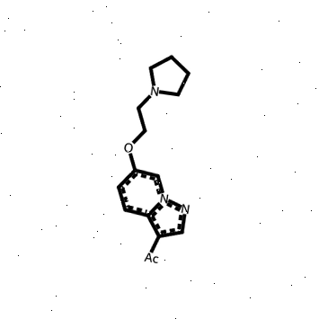 CC(=O)c1cnn2cc(OCCN3CCCC3)ccc12